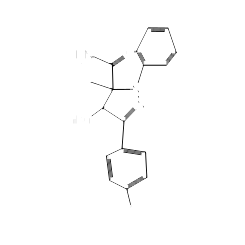 CCCCC1C(c2ccc(Cl)cc2)=NN(c2ccccc2)C1(C)C(N)=O